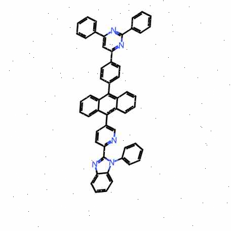 c1ccc(-c2cc(-c3ccc(-c4c5ccccc5c(-c5ccc(-c6nc7ccccc7n6-c6ccccc6)nc5)c5ccccc45)cc3)nc(-c3ccccc3)n2)cc1